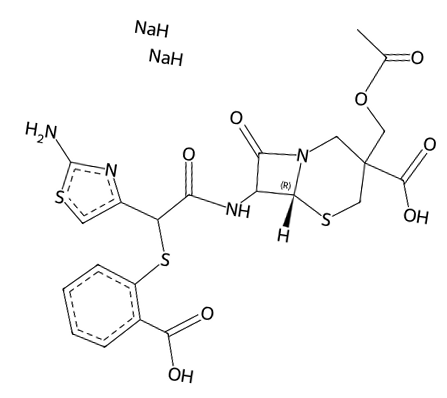 CC(=O)OCC1(C(=O)O)CS[C@@H]2C(NC(=O)C(Sc3ccccc3C(=O)O)c3csc(N)n3)C(=O)N2C1.[NaH].[NaH]